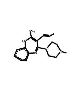 C/C=C/C1=C(SC)Nc2ccccc2N=C1N1CCN(C)CC1